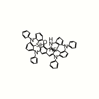 c1ccc(N2c3cccc4c3[SiH]3c5c2cccc5N(c2ccccc2)c2cc5cc6c7c(c5c(c23)N4)Oc2cccc3c2[SiH]7c2c(cccc2N6c2ccccc2)N3c2ccccc2)cc1